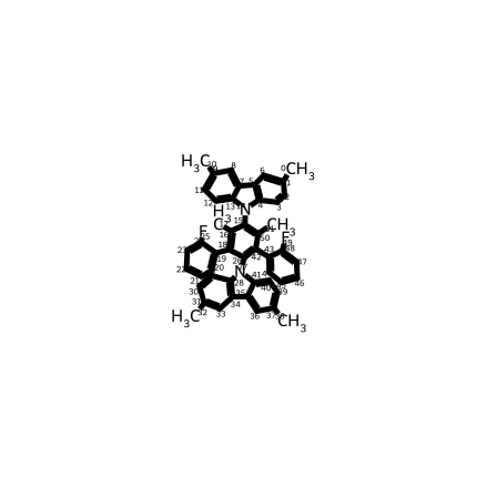 Cc1ccc2c(c1)c1cc(C)ccc1n2-c1c(C)c(-c2ccccc2F)c(-n2c3ccc(C)cc3c3cc(C)ccc32)c(-c2ccccc2F)c1C